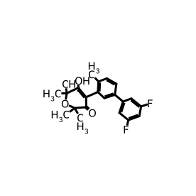 Cc1ccc(-c2cc(F)cc(F)c2)cc1C1=C(O)C(C)(C)OC(C)(C)C1=O